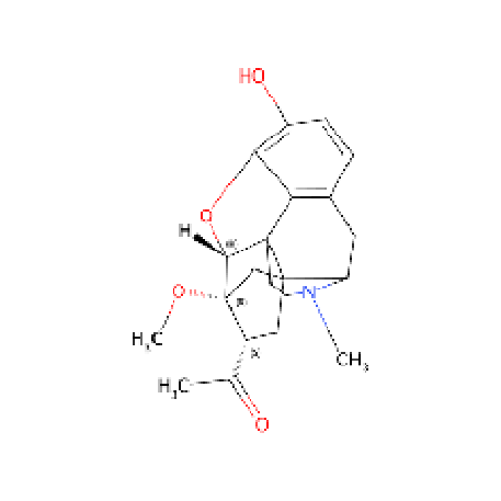 CO[C@]12CC3(C[C@@H]1C(C)=O)C1Cc4ccc(O)c5c4C3(CCN1C)[C@H]2O5